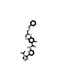 CC(C)n1cnnc1-c1cccc(NC(=O)c2cc3c(cc2F)OC(COCc2ccccc2)CO3)n1